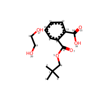 CC(C)(C)COC(=O)c1ccccc1C(=O)O.OCCO